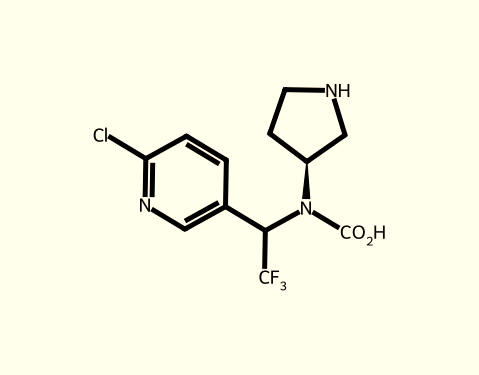 O=C(O)N(C(c1ccc(Cl)nc1)C(F)(F)F)[C@H]1CCNC1